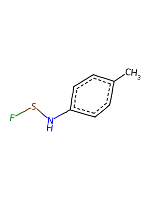 Cc1ccc(NSF)cc1